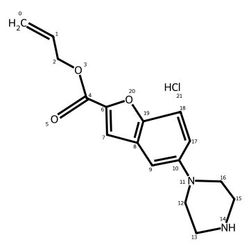 C=CCOC(=O)c1cc2cc(N3CCNCC3)ccc2o1.Cl